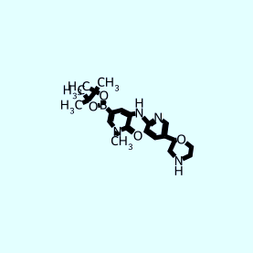 Cn1cc(B2OC(C)(C)C(C)(C)O2)cc(Nc2ccc(C3CNCCO3)cn2)c1=O